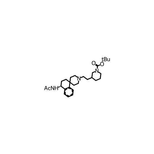 CC(=O)N[C@H]1CCC2(CCN(CCC3CCCN(C(=O)OC(C)(C)C)C3)CC2)c2ccccc21